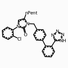 CCCCCc1cn(-c2ccccc2Cl)c(=O)n1Cc1ccc(-c2ccccc2-c2nnn[nH]2)cc1